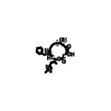 CC(=Cc1csc(C)n1)[C@@H]1C[C@H]2[C@@H](CCC[C@H](C)[C@H](O)[C@H](C)C(=O)C(C)(C)[C@@H](O)CC(=O)O1)N2Cc1ccccc1